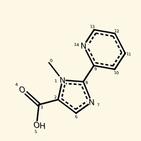 Cn1c(C(=O)O)cnc1-c1ccccn1